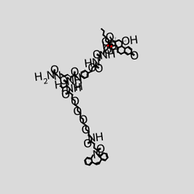 CCCC1O[C@@H]2CC3[C@@H]4CCC5=CC(=O)C=C[C@]5(C)C4[C@@H](O)C[C@]3(C)[C@]2(C(=O)COCNC(=O)CNC(=O)OCc2ccc(NC(=O)[C@H](CCCNC(N)=O)NC(=O)[C@@H](NC(=O)CCOCCOCCOCCOCCNC(=O)CCC(=O)N3Cc4ccccc4C#Cc4ccccc43)C(C)C)cc2)O1